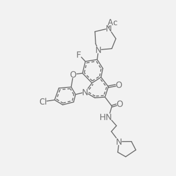 CC(=O)N1CCN(c2cc3c(=O)c(C(=O)NCCN4CCCC4)cn4c3c(c2F)Oc2cc(Cl)ccc2-4)CC1